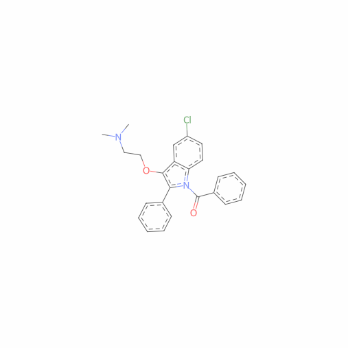 CN(C)CCOc1c(-c2ccccc2)n(C(=O)c2ccccc2)c2ccc(Cl)cc12